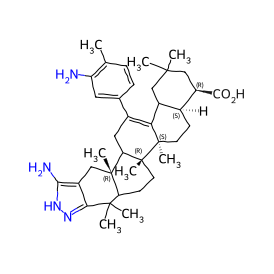 Cc1ccc(C2=C3C4CC(C)(C)C[C@@H](C(=O)O)[C@H]4CC[C@@]3(C)[C@]3(C)CCC4C(C)(C)c5n[nH]c(N)c5C[C@]4(C)C3C2)cc1N